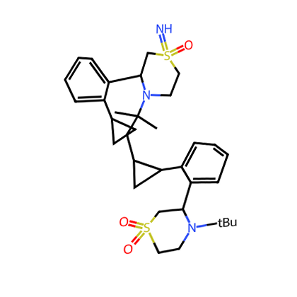 CC(C)(C)N1CCS(=O)(=O)CC1c1ccccc1C1CC1CC(C)(C)N1CCS(=N)(=O)CC1c1ccccc1C1CC1